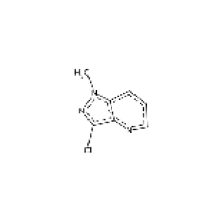 Cn1nc(Cl)c2ncccc21